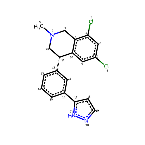 CN1Cc2c(Cl)cc(Cl)cc2[C@H](c2cccc(-c3ccn[nH]3)c2)C1